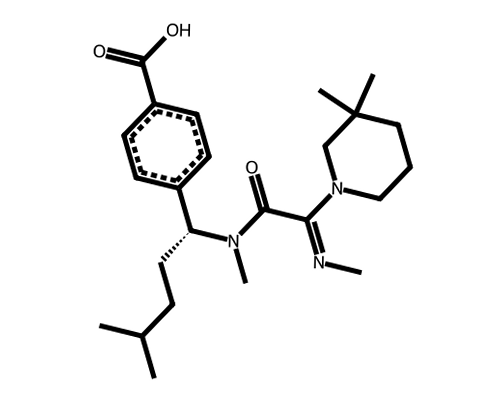 CN=C(C(=O)N(C)[C@H](CCC(C)C)c1ccc(C(=O)O)cc1)N1CCCC(C)(C)C1